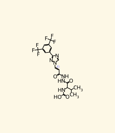 CC(C)C(NC(=O)O)C(=O)NNC(=O)/C=C/n1cnc(-c2cc(C(F)(F)F)cc(C(F)(F)F)c2)n1